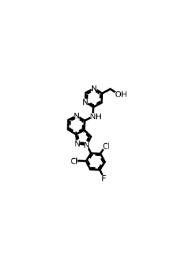 OCc1cc(Nc2nccc3nn(-c4c(Cl)cc(F)cc4Cl)cc23)ncn1